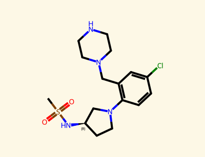 CS(=O)(=O)N[C@@H]1CCN(c2ccc(Cl)cc2CN2CCNCC2)C1